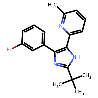 Cc1cccc(-c2[nH]c(C(C)(C)C)nc2-c2cccc(Br)c2)n1